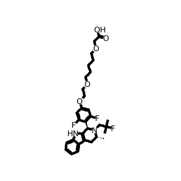 C[C@@H]1Cc2c([nH]c3ccccc23)[C@@H](c2c(F)cc(OCCOCCCCCOCC(=O)O)cc2F)N1CC(C)(C)F